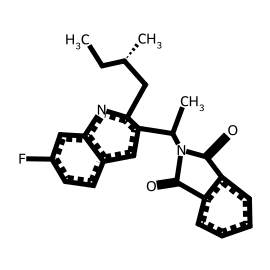 CC[C@H](C)Cc1nc2cc(F)ccc2cc1C(C)N1C(=O)c2ccccc2C1=O